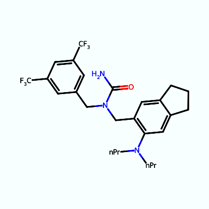 CCCN(CCC)c1cc2c(cc1CN(Cc1cc(C(F)(F)F)cc(C(F)(F)F)c1)C(N)=O)CCC2